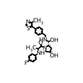 Cc1ncsc1-c1ccc(CNC(O)[C@@H]2C[C@@H](O)CN2C(=O)C(C)Nc2ccc(F)cc2)cc1